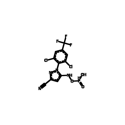 N#Cc1cc(NO[PH](=O)O)n(-c2c(Cl)cc(C(F)(F)F)cc2Cl)n1